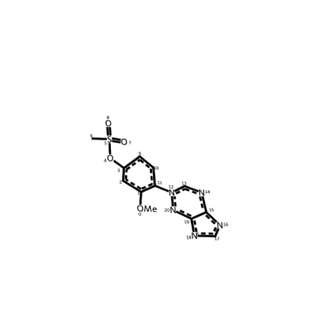 COc1cc(OS(C)(=O)=O)ccc1-n1cnc2ncnc-2n1